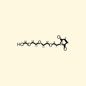 O=C1C=CC(=O)N1CCOCCOCCOCO